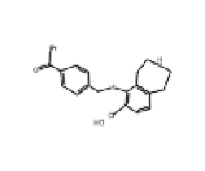 CC(C)C(=O)c1ccc(CSc2c(Cl)ccc3c2CCNCC3)cc1.Cl